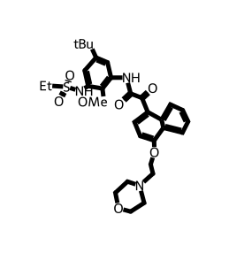 CCS(=O)(=O)Nc1cc(C(C)(C)C)cc(NC(=O)C(=O)c2ccc(OCCN3CCOCC3)c3ccccc23)c1OC